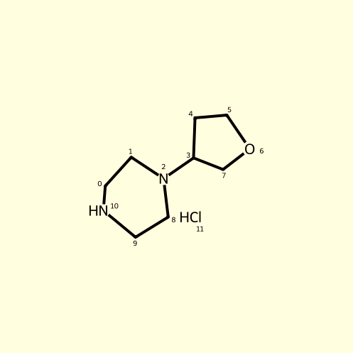 C1CN(C2CCOC2)CCN1.Cl